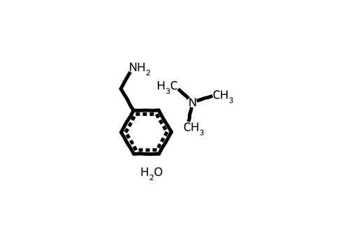 CN(C)C.NCc1ccccc1.O